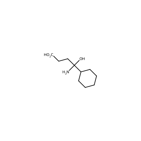 NC(O)(CCC(=O)O)C1CCCCC1